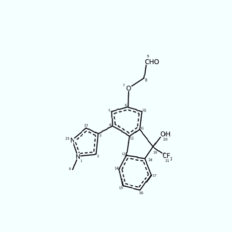 Cn1cc(-c2cc(OCC=O)cc3c2-c2ccccc2C3(O)C(F)(F)F)cn1